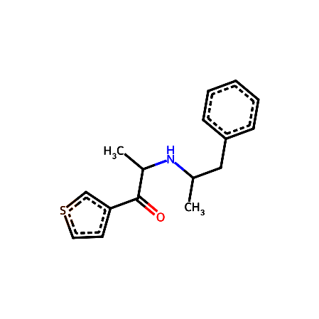 CC(Cc1ccccc1)NC(C)C(=O)c1ccsc1